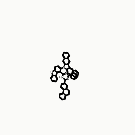 c1ccc(C2=NC(c3ccc4c(ccc5ccccc54)c3)NC(c3c(-n4c5cc6ccccc6cc5c5cc6ccccc6cc54)ccc4oc5ccccc5c34)=N2)cc1